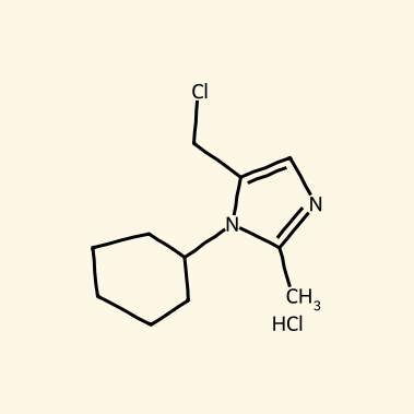 Cc1ncc(CCl)n1C1CCCCC1.Cl